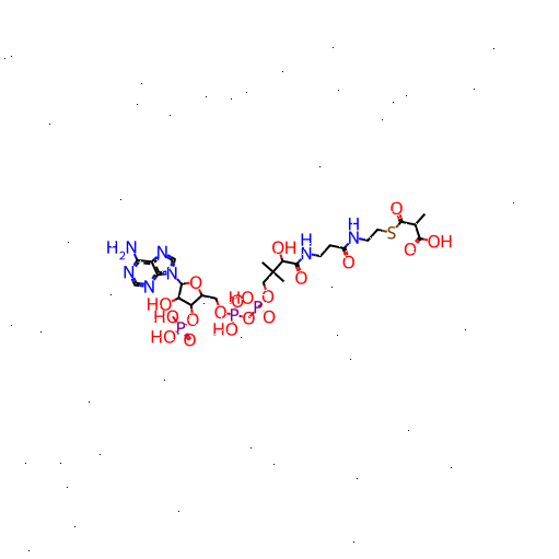 CC(C(=O)O)C(=O)SCCNC(=O)CCNC(=O)C(O)C(C)(C)COP(=O)(O)OP(=O)(O)OCC1OC(n2cnc3c(N)ncnc32)C(O)C1OP(=O)(O)O